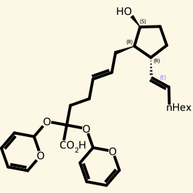 CCCCCC/C=C/[C@H]1CC[C@H](O)[C@@H]1CC=CCCC(OC1C=CC=CO1)(OC1C=CC=CO1)C(=O)O